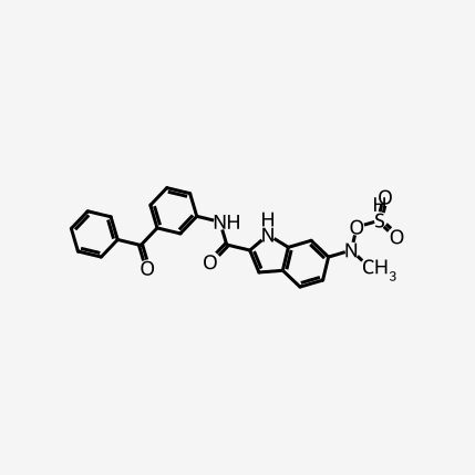 CN(O[SH](=O)=O)c1ccc2cc(C(=O)Nc3cccc(C(=O)c4ccccc4)c3)[nH]c2c1